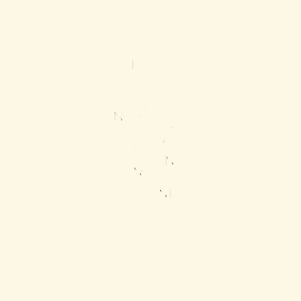 Cn1c(Nc2ccccc2)ncc(-c2ccc(O)cn2)c1=O